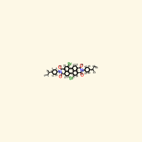 CCC(C)c1ccc(N2C(=O)c3ccc4c5c(Br)cc6c7c(ccc(c8c(Br)cc(c3c48)C2=O)c75)C(=O)N(c2ccc(C(C)CC)cc2)C6=O)cc1